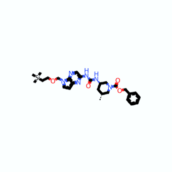 C[C@@H]1C[C@@H](NC(=O)Nc2cnc3c(ccn3COCC[Si](C)(C)C)n2)CN(C(=O)OCc2ccccc2)C1